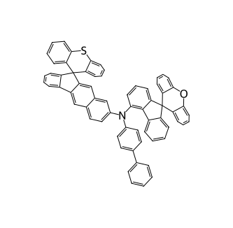 c1ccc(-c2ccc(N(c3ccc4cc5c(cc4c3)C3(c4ccccc4Sc4ccccc43)c3ccccc3-5)c3cccc4c3-c3ccccc3C43c4ccccc4Oc4ccccc43)cc2)cc1